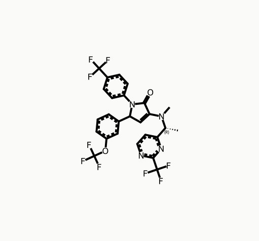 C[C@H](c1ccnc(C(F)(F)F)n1)N(C)C1=CC(c2cccc(OC(F)(F)F)c2)N(c2ccc(C(F)(F)F)cc2)C1=O